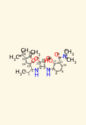 CCC(Nc1c(Nc2cccc(C(=O)N(C)C)c2O)c(=O)c1=O)c1cc(C(C)C)c(C)o1